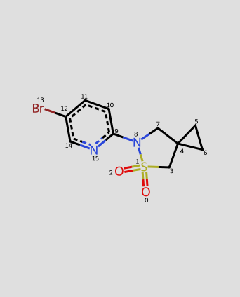 O=S1(=O)CC2(CC2)CN1c1ccc(Br)cn1